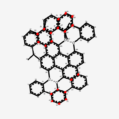 CC(C)c1cccc(C(C)C)c1-c1c(-c2c(C(C)C)cccc2C(C)C)c2ccc(Oc3ccccc3-c3ccccc3)c3c4c(Oc5ccccc5-c5ccccc5)ccc5ccc(Oc6ccccc6-c6ccccc6)c(c(c1Oc1ccccc1-c1ccccc1)c23)c54